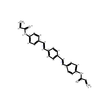 C=CC(=O)Oc1ccc(/C=C/c2ccc(/C=C/c3ccc(OC(=O)C=C)cc3)cc2)cc1